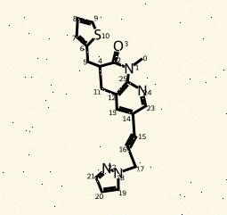 CN1C(=O)C(Cc2cccs2)Cc2cc(C#CCn3cccn3)cnc21